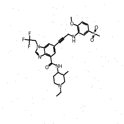 CCN1CCC(NC(=O)c2cc(C#CCNc3cc(S(C)(=O)=O)ccc3OC)cc3c2ncn3CC(F)(F)F)C(C)C1